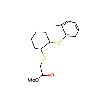 COC(=O)CSC1CCCCC1Sc1ccccc1C